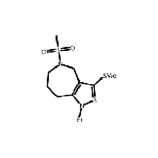 CCn1nc(SC)c2c1CCCN(S(C)(=O)=O)C2